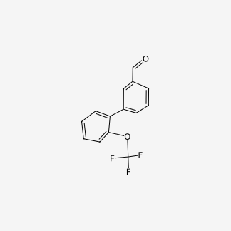 O=Cc1cccc(-c2ccccc2OC(F)(F)F)c1